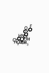 COc1c(Cl)ccc2c1C(C)(C)CC(O)(C(F)(F)F)C2Nc1cccc2c1ccc(=O)n2-c1cccc(F)c1